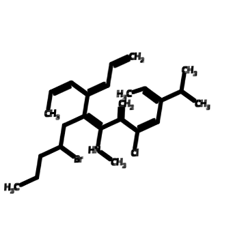 C=C/C=C(\C=C/C)C(/CC(Br)CCC)=C(/NC)C(=C)/C(Cl)=C\C(=C/C)C(C)C